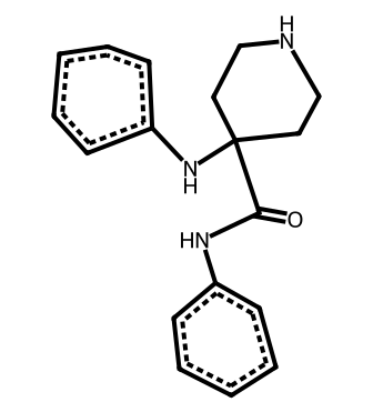 O=C(Nc1ccccc1)C1(Nc2ccccc2)CCNCC1